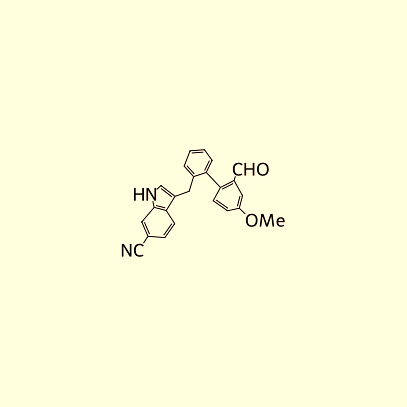 COc1ccc(-c2ccccc2Cc2c[nH]c3cc(C#N)ccc23)c(C=O)c1